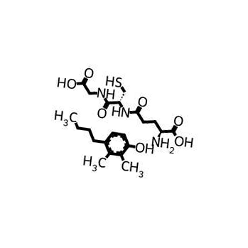 CCCCc1ccc(O)c(C)c1C.N[C@@H](CCC(=O)N[C@@H](CS)C(=O)NCC(=O)O)C(=O)O